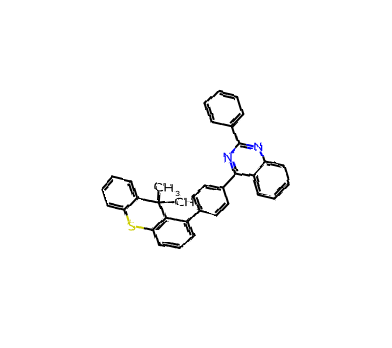 CC1(C)c2ccccc2Sc2cccc(-c3ccc(-c4nc(-c5ccccc5)nc5ccccc45)cc3)c21